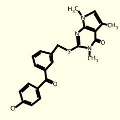 Cc1cn(C)c2nc(SCc3cccc(C(=O)c4ccc(Cl)cc4)c3)n(C)c(=O)c12